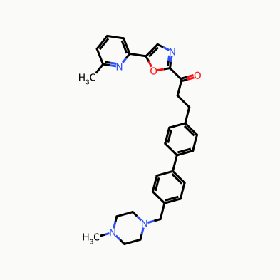 Cc1cccc(-c2cnc(C(=O)CCc3ccc(-c4ccc(CN5CCN(C)CC5)cc4)cc3)o2)n1